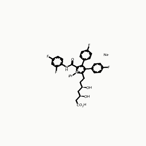 CC(C)n1c(CC[C@@H](O)C[C@@H](O)CC(=O)O)c(-c2ccc(F)cc2)c(-c2ccc(F)cc2)c1C(=O)Nc1ccc(F)cc1F.[Na]